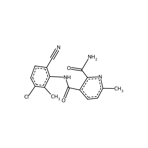 Cc1ccc(C(=O)Nc2c(C#N)ccc(Cl)c2C)c(C(N)=O)n1